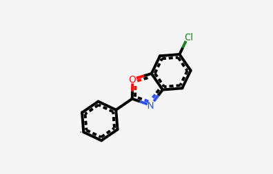 Clc1ccc2nc(-c3cc[c]cc3)oc2c1